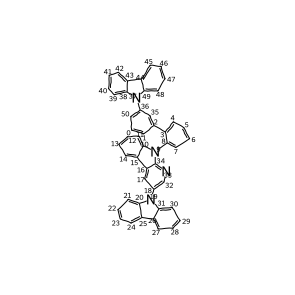 c1cc(-c2ccccc2-n2c3ccccc3c3cc(-n4c5ccccc5c5ccccc54)cnc32)cc(-n2c3ccccc3c3ccccc32)c1